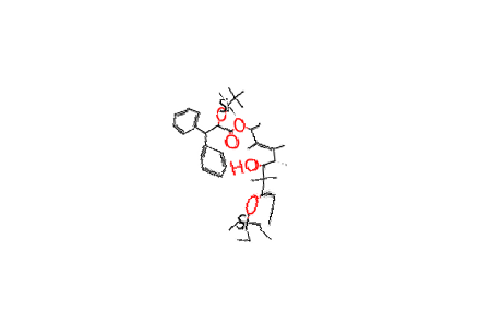 CCC(O[Si](CC)(CC)CC)C(C)(C)[C@@H](O)[C@@H](C)/C(C)=C(\C)C(C)OC(=O)[C@H](O[Si](C)(C)C(C)(C)C)C(c1ccccc1)c1ccccc1